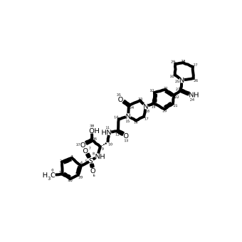 Cc1ccc(S(=O)(=O)N[C@@H](CNC(=O)CN2CCN(c3ccc(C(=N)N4CCCCC4)cc3)CC2=O)C(=O)O)cc1